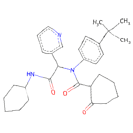 CC(C)(C)c1ccc(N(C(=O)C2CCCCC2=O)C(C(=O)NC2CCCCC2)c2cccnc2)cc1